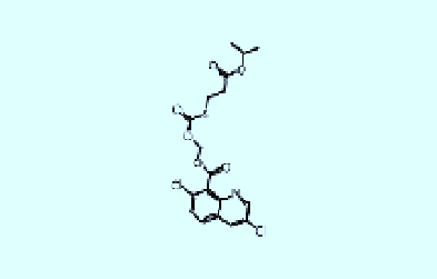 CC(C)OC(=O)CCSC(=O)OCOC(=O)c1c(Cl)ccc2cc(Cl)cnc12